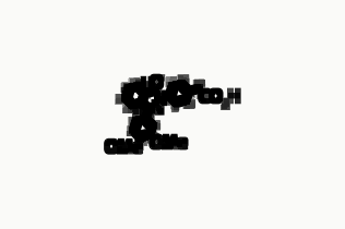 COc1ccc(C2=NN(c3ccc(CC(=O)O)cc3)C(=O)[C@@H]3CC=CC[C@H]23)cc1OC